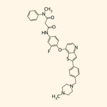 CN1CCN(Cc2ccc(-c3cc4nccc(Oc5ccc(NC(=O)CC(=O)N(C)c6ccccc6)cc5F)c4s3)cc2)CC1